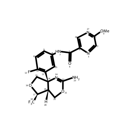 COc1cnc(C(=O)Nc2ccc(F)c([C@]34CO[C@H](C(F)(F)F)[C@H]3COC(N)=N4)c2)cn1